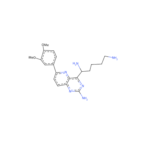 COc1ccc(-c2ccc3nc(N)nc(C(N)CCCCN)c3n2)cc1OC